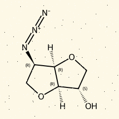 [N-]=[N+]=N[C@@H]1CO[C@H]2[C@@H]1OC[C@@H]2O